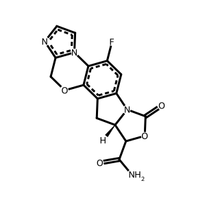 NC(=O)C1OC(=O)N2c3cc(F)c4c(c3C[C@@H]12)OCc1nccn1-4